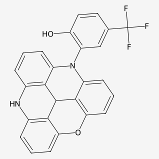 Oc1ccc(C(F)(F)F)cc1N1c2cccc3c2C2c4c(cccc4Oc4cccc1c42)N3